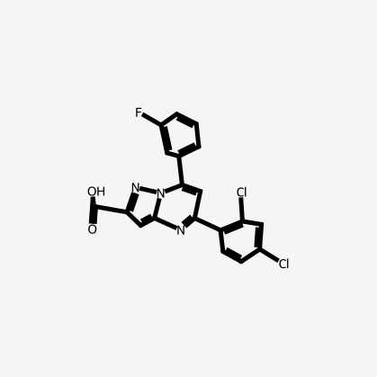 O=C(O)c1cc2nc(-c3ccc(Cl)cc3Cl)cc(-c3cccc(F)c3)n2n1